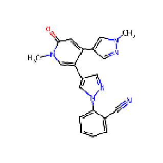 Cn1cc(-c2cc(=O)n(C)cc2-c2cnn(-c3ccccc3C#N)c2)cn1